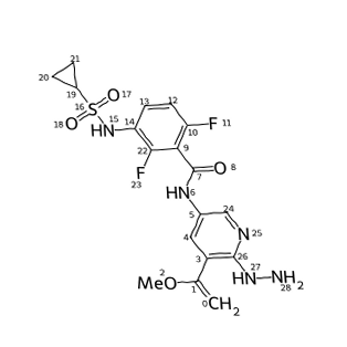 C=C(OC)c1cc(NC(=O)c2c(F)ccc(NS(=O)(=O)C3CC3)c2F)cnc1NN